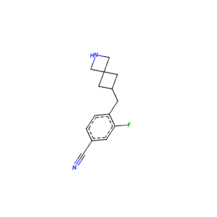 N#Cc1ccc(CC2CC3(CNC3)C2)c(F)c1